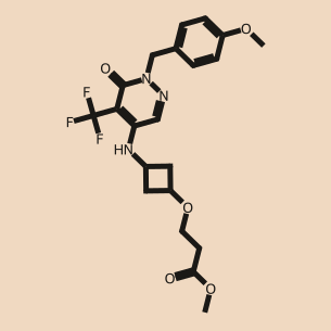 COC(=O)CCOC1CC(Nc2cnn(Cc3ccc(OC)cc3)c(=O)c2C(F)(F)F)C1